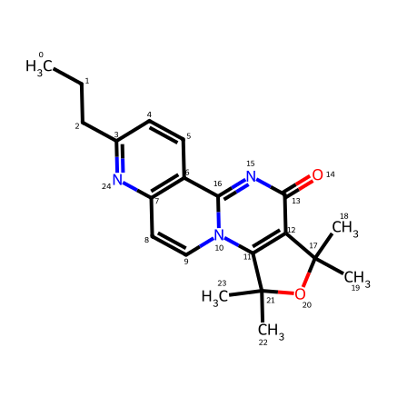 CCCc1ccc2c(ccn3c4c(c(=O)nc23)C(C)(C)OC4(C)C)n1